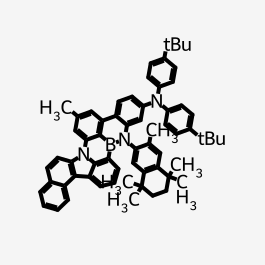 Cc1cc2c3c(c1)-n1c4ccc5ccccc5c4c4cccc(c41)B3N(c1cc3c(cc1C)C(C)(C)CCC3(C)C)c1cc(N(c3ccc(C(C)(C)C)cc3)c3ccc(C(C)(C)C)cc3)ccc1-2